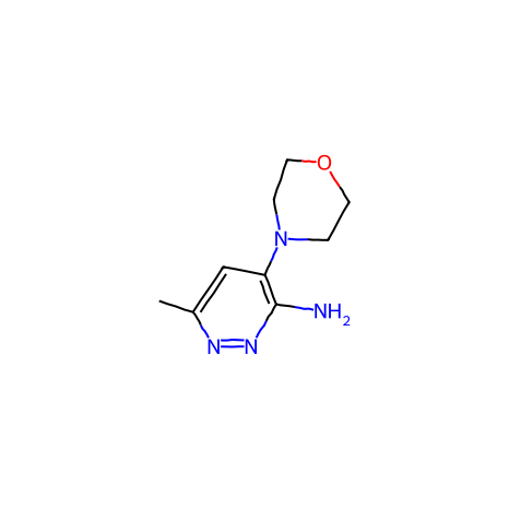 Cc1cc(N2CCOCC2)c(N)nn1